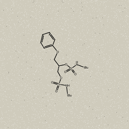 CC(C)(C)NS(=O)(=O)OCC(COc1ccccc1)OS(=O)(=O)NC(C)(C)C